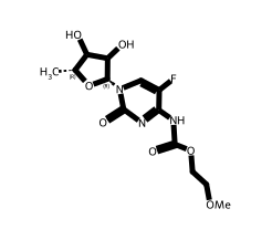 COCCOC(=O)Nc1nc(=O)n([C@@H]2O[C@H](C)C(O)C2O)cc1F